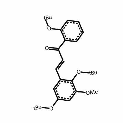 COc1cc(OC(C)(C)C)cc(C=CC(=O)c2ccccc2OC(C)(C)C)c1OC(C)(C)C